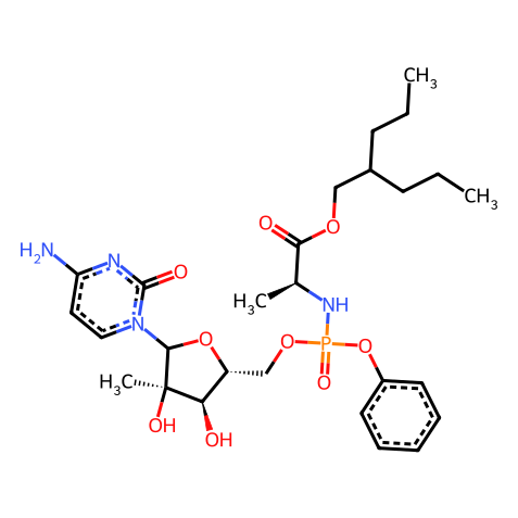 CCCC(CCC)COC(=O)[C@H](C)NP(=O)(OC[C@H]1OC(n2ccc(N)nc2=O)[C@](C)(O)[C@@H]1O)Oc1ccccc1